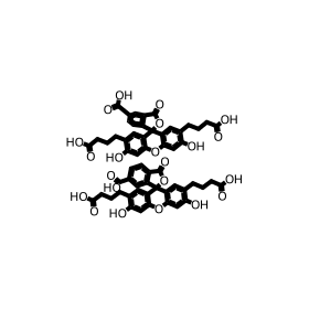 O=C(O)CCCc1cc2c(cc1O)Oc1cc(O)c(CCCC(=O)O)cc1C21OC(=O)c2cc(C(=O)O)ccc21.O=C(O)CCCc1cc2c(cc1O)Oc1cc(O)c(CCCC(=O)O)cc1C21OC(=O)c2ccc(C(=O)O)cc21